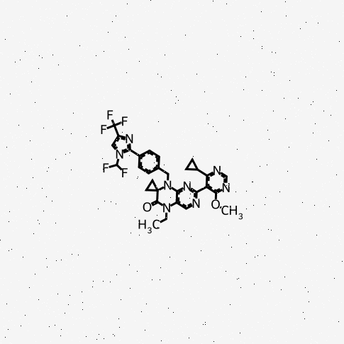 CCN1C(=O)C2(CC2)N(Cc2ccc(-c3nc(C(F)(F)F)cn3C(F)F)cc2)c2nc(-c3c(OC)ncnc3C3CC3)ncc21